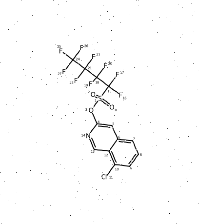 O=S(=O)(Oc1cc2cccc(Cl)c2cn1)C(F)(F)C(F)(F)C(F)(F)C(F)(F)F